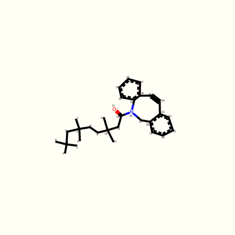 CC(C)(C)CC(C)(C)CCC(C)(C)CC(=O)N1Cc2ccccc2C#Cc2ccccc21